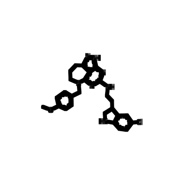 COc1ccc(CN2CCCc3n[nH]c4nc(NCCC5CNc6ccc(Cl)cc65)nc2c34)cc1